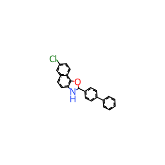 Clc1ccc2c3c(ccc2c1)NC(c1ccc(-c2ccccc2)cc1)O3